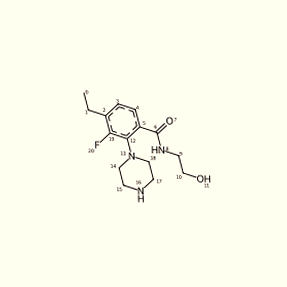 CCc1ccc(C(=O)NCCO)c(N2CCNCC2)c1F